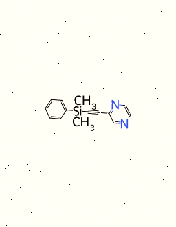 C[Si](C)(C#Cc1cnccn1)c1ccccc1